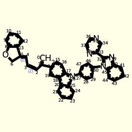 C=C(/C=C\C=C1/COc2ccccc21)c1ccc2c(c1)c1ccccc1n2-c1ccc(-n2c(-c3cnccn3)nc3ccccc32)cc1